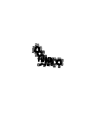 C=CCN(C[C@@H]1Cc2ccccc2CN1)C(=O)NCc1ccc2ccccc2c1